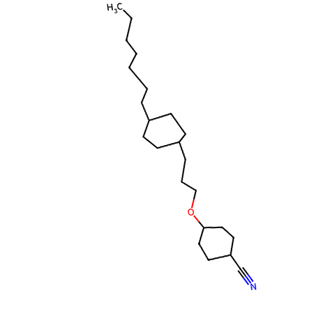 CCCCCCCC1CCC(CCCOC2CCC(C#N)CC2)CC1